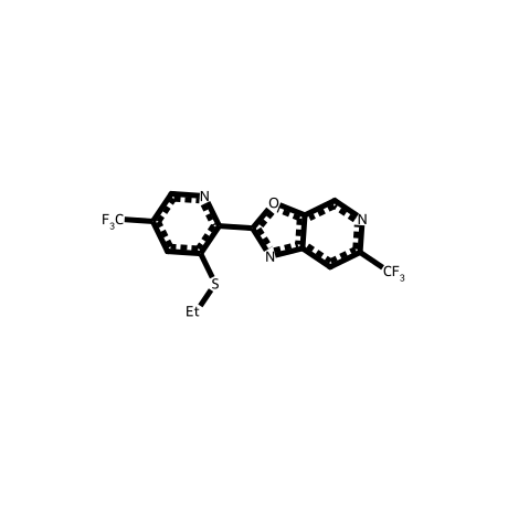 CCSc1cc(C(F)(F)F)cnc1-c1nc2cc(C(F)(F)F)ncc2o1